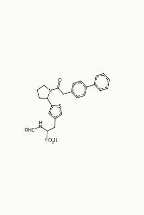 O=CNC(Cc1csc(C2CCCN2C(=O)Cc2ccc(-c3ccccc3)cc2)c1)C(=O)O